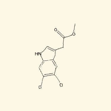 COC(=O)Cc1c[nH]c2cc(Cl)c(Cl)cc12